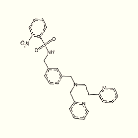 O=[N+]([O-])c1ccccc1S(=O)(=O)NCc1cccc(CN(CCc2ccccn2)Cc2ccccn2)c1